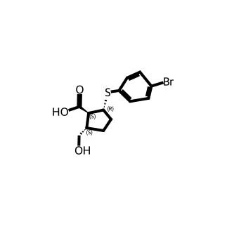 O=C(O)[C@@H]1[C@@H](CO)CC[C@H]1Sc1ccc(Br)cc1